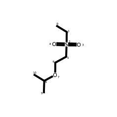 CCS(=O)(=O)CCOC(C)C